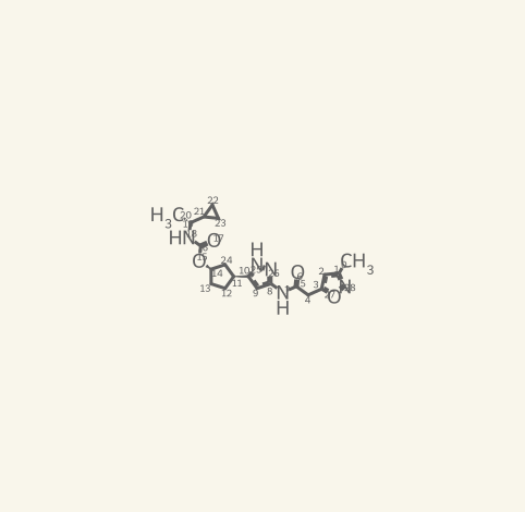 Cc1cc(CC(=O)Nc2cc([C@H]3CC[C@@H](OC(=O)N[C@H](C)C4CC4)C3)[nH]n2)on1